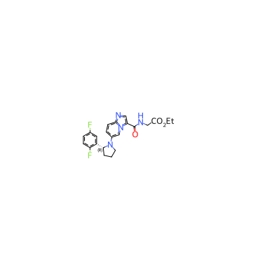 CCOC(=O)CNC(=O)c1cnc2ccc(N3CCC[C@@H]3c3cc(F)ccc3F)cn12